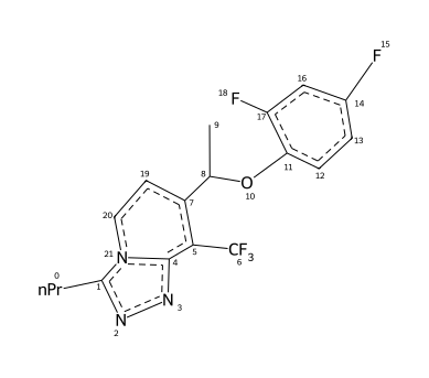 CCCc1nnc2c(C(F)(F)F)c(C(C)Oc3ccc(F)cc3F)ccn12